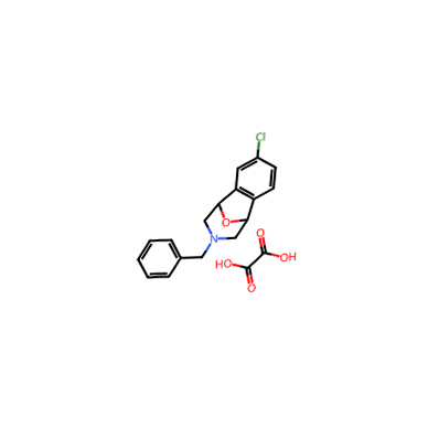 Clc1ccc2c(c1)C1CN(Cc3ccccc3)CC2O1.O=C(O)C(=O)O